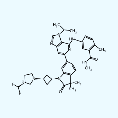 CNC(=O)c1cc(Nc2nc(-c3ccc4c(c3)N([C@H]3C[C@@H](N5CC[C@H](C(F)F)C5)C3)C(=O)C4(C)C)cc3ncn(C(C)C)c23)ccc1C